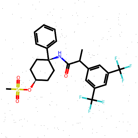 CC(C(=O)N[C@]1(c2ccccc2)CC[C@H](OS(C)(=O)=O)CC1)c1cc(C(F)(F)F)cc(C(F)(F)F)c1